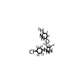 [2H]c1ccc(OCc2c(C)nnn2-c2ccc(Cl)cc2)nn1